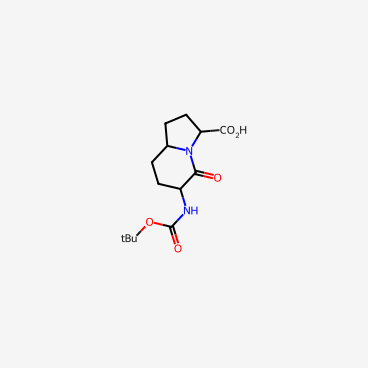 CC(C)(C)OC(=O)NC1CCC2CCC(C(=O)O)N2C1=O